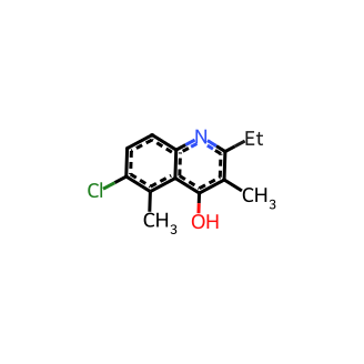 CCc1nc2ccc(Cl)c(C)c2c(O)c1C